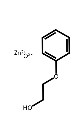 OCCOc1ccccc1.[O-2].[Zn+2]